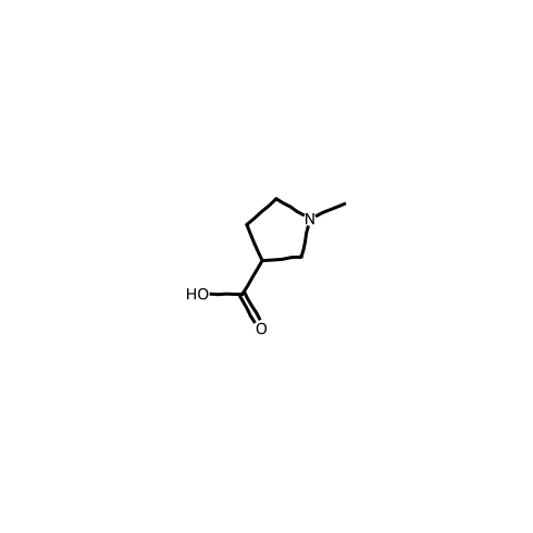 CN1CCC(C(=O)O)C1